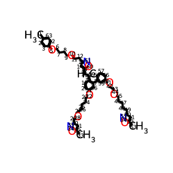 Cc1ccc(OCCCCOCCc2cc(CCc3ccc(OCCCCCOCc4cc(C)on4)cc3-c3cc(OCCOCCCCCc4cc(C)on4)ccc3C)on2)cc1